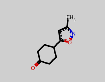 Cc1cc(C2CCC(=O)CC2)on1